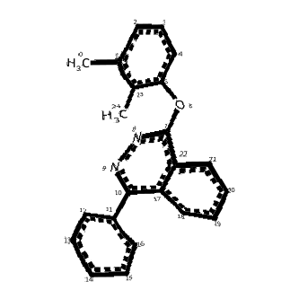 Cc1cccc(Oc2nnc(-c3ccccc3)c3ccccc23)c1C